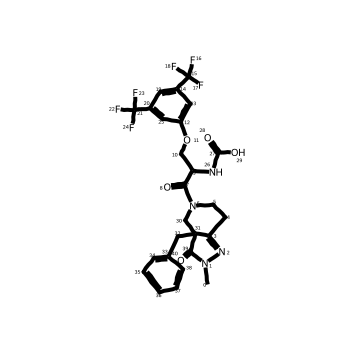 CN1N=C2CCN(C(=O)C(COc3cc(C(F)(F)F)cc(C(F)(F)F)c3)NC(=O)O)CC2(Cc2ccccc2)C1=O